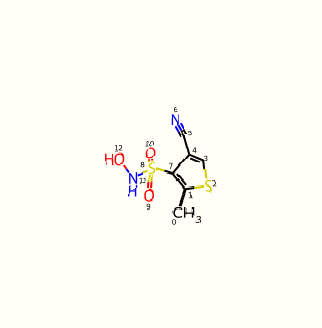 Cc1scc(C#N)c1S(=O)(=O)NO